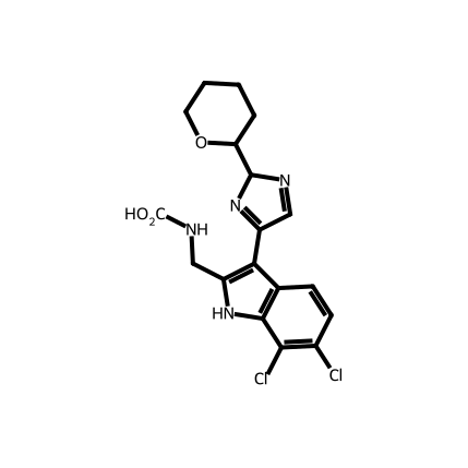 O=C(O)NCc1[nH]c2c(Cl)c(Cl)ccc2c1C1=NC(C2CCCCO2)N=C1